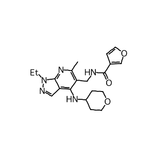 CCn1ncc2c(NC3CCOCC3)c(CNC(=O)c3ccoc3)c(C)nc21